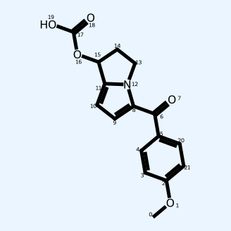 COc1ccc(C(=O)c2ccc3n2CCC3OC(=O)O)cc1